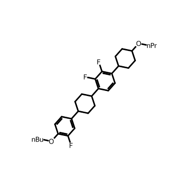 CCCCOc1ccc(C2CCC(c3ccc(C4CCC(OCCC)CC4)c(F)c3F)CC2)cc1F